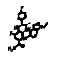 CCn1ncc2cc(NC3=NC(N[C@H](c4ccc(F)cc4)[C@H](C)N)=C(F)CC3C(N)=O)ccc21